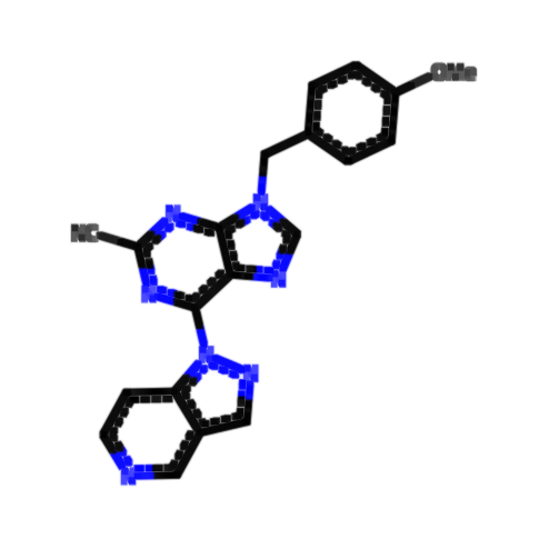 COc1ccc(Cn2cnc3c(-n4ncc5cnccc54)nc(C#N)nc32)cc1